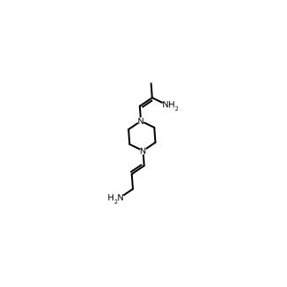 CC(N)=CN1CCN(C=CCN)CC1